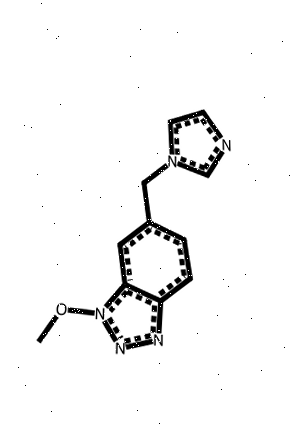 COn1nnc2ccc(Cn3ccnc3)cc21